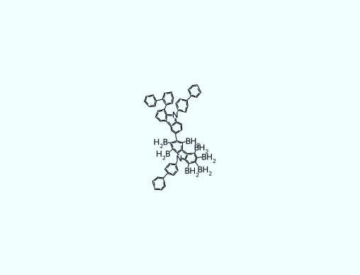 Bc1c(B)c(B)c2c(c1B)c1c(B)c(-c3ccc4c(c3)c3cccc(-c5ccccc5-c5ccccc5)c3n4-c3ccc(-c4ccccc4)cc3)c(B)c(B)c1n2-c1ccc(-c2ccccc2)cc1